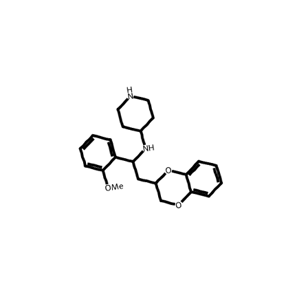 COc1ccccc1C(CC1COc2ccccc2O1)NC1CCNCC1